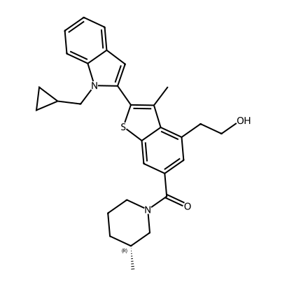 Cc1c(-c2cc3ccccc3n2CC2CC2)sc2cc(C(=O)N3CCC[C@@H](C)C3)cc(CCO)c12